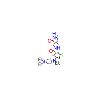 CCN(CC)[C@H]1CC[C@H](N(CC)c2cc(Cl)cc(C(=O)NCc3c(C)cc(C)[nH]c3=O)c2C)CC1